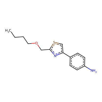 CCCCOCc1nc(-c2ccc(N)cc2)cs1